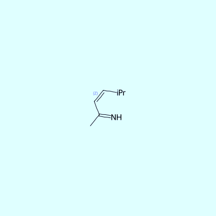 CC(=N)/C=C\C(C)C